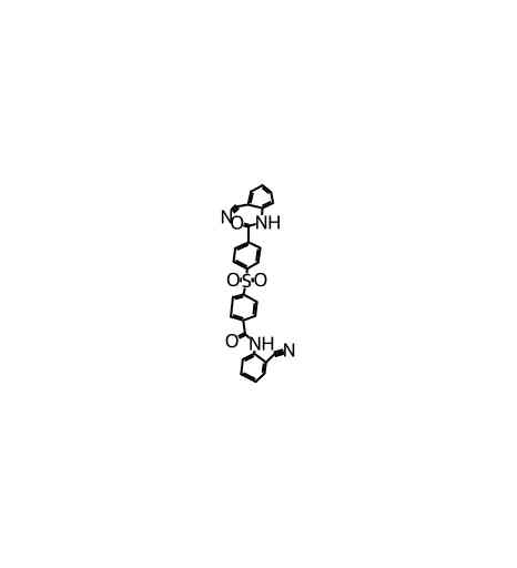 N#Cc1ccccc1NC(=O)c1ccc(S(=O)(=O)c2ccc(C(=O)Nc3ccccc3C#N)cc2)cc1